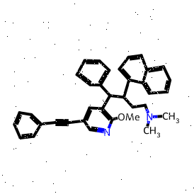 COc1ncc(C#Cc2ccccc2)cc1C(c1ccccc1)C(CCN(C)C)c1cccc2ccccc12